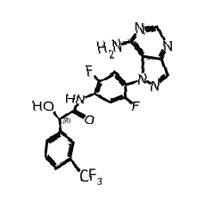 Nc1ncnc2cnn(-c3cc(F)c(NC(=O)[C@H](O)c4cccc(C(F)(F)F)c4)cc3F)c12